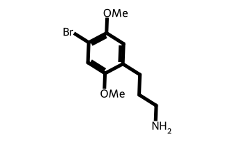 COc1cc(CCCN)c(OC)cc1Br